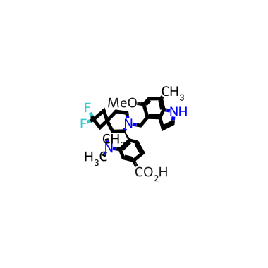 COc1cc(C)c2[nH]ccc2c1CN1CCC2(C[C@@H]1c1ccc(C(=O)O)cc1N(C)C)CC(F)(F)C2